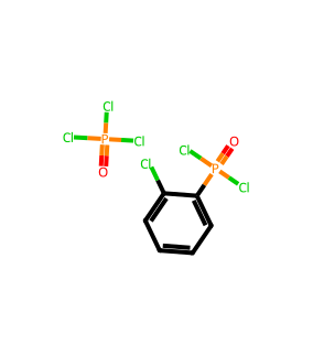 O=P(Cl)(Cl)Cl.O=P(Cl)(Cl)c1ccccc1Cl